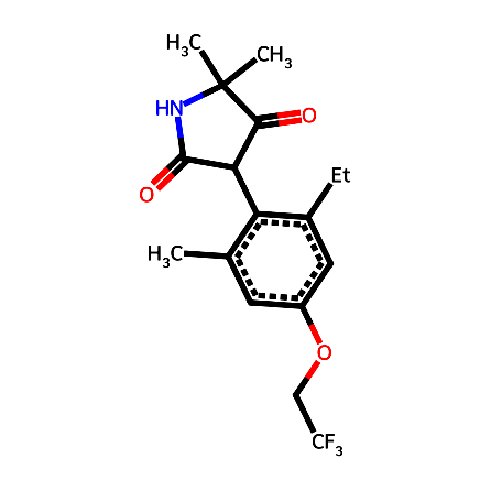 CCc1cc(OCC(F)(F)F)cc(C)c1C1C(=O)NC(C)(C)C1=O